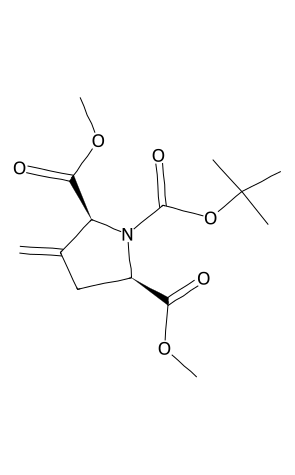 C=C1C[C@H](C(=O)OC)N(C(=O)OC(C)(C)C)[C@@H]1C(=O)OC